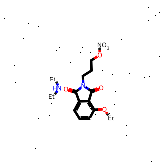 CCNCC.CCOc1cccc2c1C(=O)N(CCCO[N+](=O)[O-])C2=O